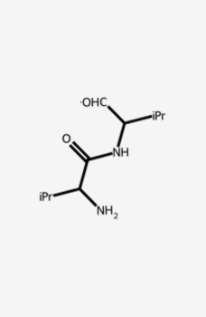 CC(C)C([C]=O)NC(=O)C(N)C(C)C